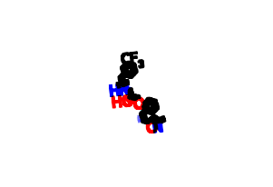 Cc1cc(/C=C\c2ccccc2OCC(O)CNC(C)(C)Cc2cccc(C(F)(F)F)c2)on1